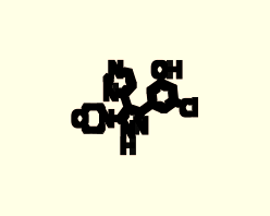 Oc1cc(Cl)cc(-c2n[nH]c(N3CCOCC3)c2-c2ccncn2)c1